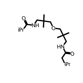 CC(C)CC(=O)NCC(C)(C)COCC(C)(C)CNC(=O)C(C)C